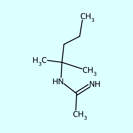 CCCC(C)(C)NC(C)=N